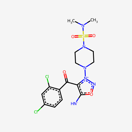 CN(C)S(=O)(=O)N1CCN([n+]2noc([NH-])c2C(=O)c2ccc(Cl)cc2Cl)CC1